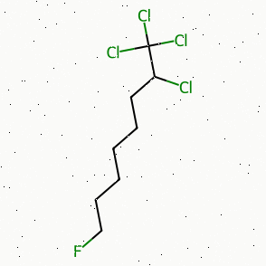 FCCCCCCC(Cl)C(Cl)(Cl)Cl